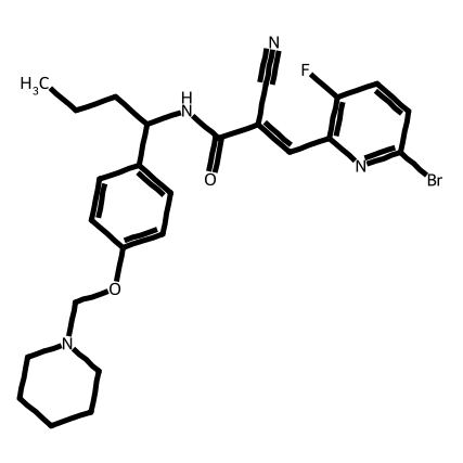 CCCC(NC(=O)/C(C#N)=C/c1nc(Br)ccc1F)c1ccc(OCN2CCCCC2)cc1